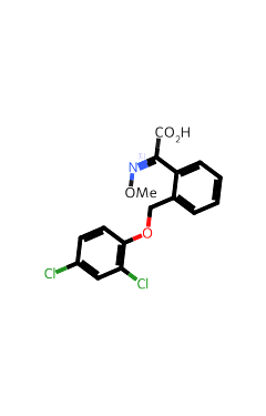 CO/N=C(/C(=O)O)c1ccccc1COc1ccc(Cl)cc1Cl